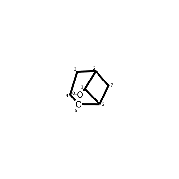 [O]C1C2CCOC1C2